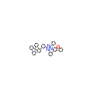 c1ccc(-c2nc(-c3cccc(-c4cccc5c4-c4ccccc4C54c5ccccc5-c5ccccc54)c3)nc(-c3ccccc3-c3ccc4oc5ccccc5c4c3)n2)cc1